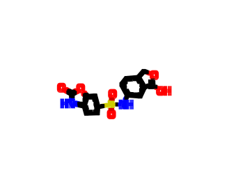 O=c1[nH]c2ccc(S(=O)(=O)Nc3ccc4c(c3)B(O)OC4)cc2o1